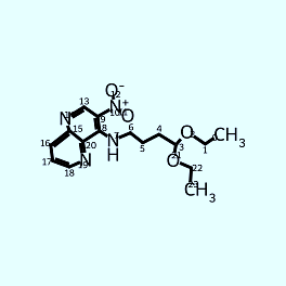 CCOC(CCCNc1c([N+](=O)[O-])cnc2cccnc12)OCC